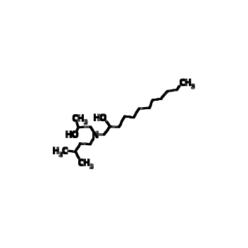 CCCCCCCCCCC(O)CN(CCC(C)C)CC(C)O